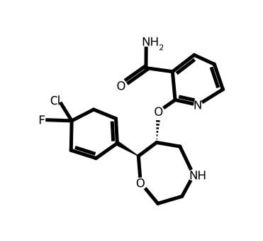 NC(=O)c1cccnc1O[C@@H]1CNCCO[C@H]1C1=CCC(F)(Cl)C=C1